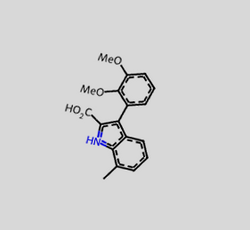 COc1cccc(-c2c(C(=O)O)[nH]c3c(C)cccc23)c1OC